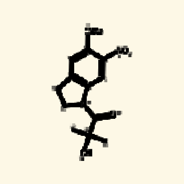 COc1cc2c(cc1[N+](=O)[O-])N(C(=O)C(C)(C)O)CC2